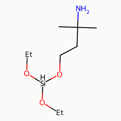 CCO[SiH](OCC)OCCC(C)(C)N